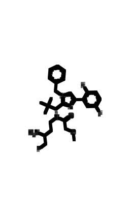 COCC(=O)N(CCC(N)CF)[C@@H](c1nc(-c2cc(F)ccc2F)cn1Cc1ccccc1)C(C)(C)C